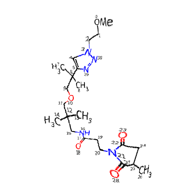 COCCn1cc(C(C)(C)COCC(C)(C)CNC(=O)CCN2C(=O)CC(C)C2=O)nn1